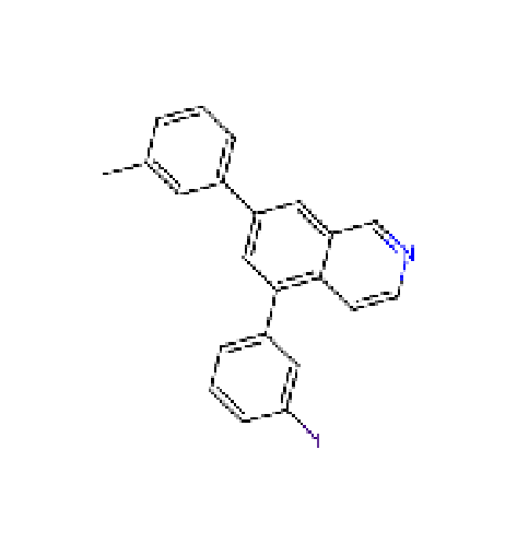 Cc1cccc(-c2cc(-c3cccc(I)c3)c3ccncc3c2)c1